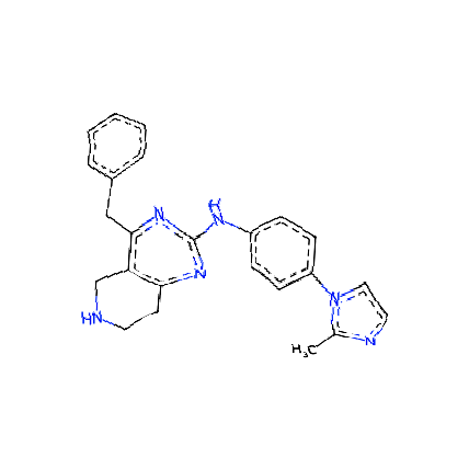 Cc1nccn1-c1ccc(Nc2nc3c(c(Cc4ccccc4)n2)CNCC3)cc1